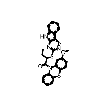 CCC(Sc1nnc2c(n1)[nH]c1ccccc12)C(=O)N1c2ccccc2Sc2ccc(OC)cc21